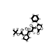 C[C@@H](C(=O)N1C(=O)OC[C@H]1c1ccccc1)[C@@H](O)C1CCCN1C(=O)OC(C)(C)C